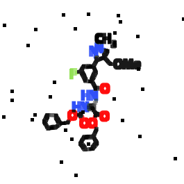 COCc1cn(C)nc1-c1cc(F)cc(C(=O)NC[C@@H](NC(=O)OCc2ccccc2)C(=O)OCc2ccccc2)c1